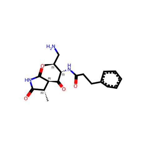 C[C@@H]1C(=O)NC(=O)[C@H]1C(=O)[C@@H](NC(=O)CCc1ccccc1)[C@@H](C)CN